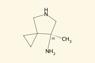 C[C@@]1(N)CNCC12CC2